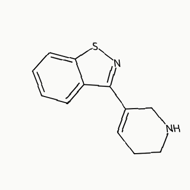 C1=C(c2nsc3ccccc23)CNCC1